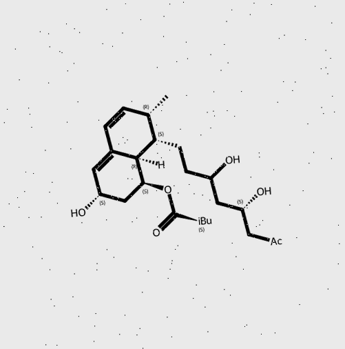 CC[C@H](C)C(=O)O[C@H]1C[C@H](O)C=C2C=C[C@H](C)[C@H](CCC(O)C[C@H](O)CC(C)=O)[C@H]21